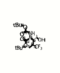 C[C@@H]([C@@H](CO)N(NC(=O)OC(C)(C)C)C(=O)OC(C)(C)C)C(F)(F)F